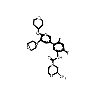 Cc1cc(F)c(NC(=O)N2CCO[C@H](C(F)(F)F)C2)cc1-c1cnc(OC2CCOCC2)c(N2CCOCC2)c1